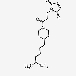 CC(C)CCCCC1CCN(C(=O)CCN2C(=O)C=CC2=O)CC1